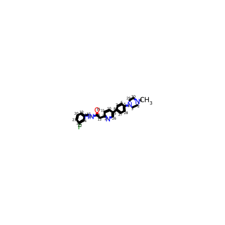 CN1CCN(c2ccc(-c3ccc(CC(=O)NCc4cccc(F)c4)nc3)cc2)CC1